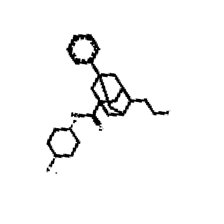 N[C@H]1CC[C@H](NC(=O)C23CC4CC(c5ccccc5)(CC(C2)C4CCF)C3)CC1